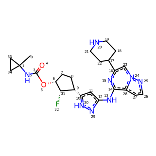 CC1(NC(=O)O[C@@H]2CC[C@H](c3cc(Nc4nc(C5CCNCC5)cn5nccc45)n[nH]3)[C@@H]2F)CC1